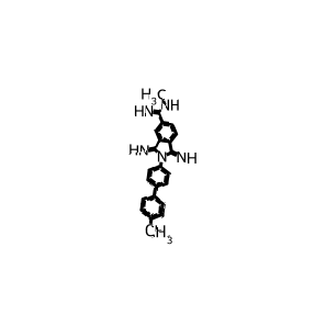 CNC(=N)c1ccc2c(c1)C(=N)N(c1ccc(-c3ccc(C)cc3)cc1)C2=N